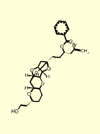 C=C(Br)C[C@H](CC[C@@]12CC3O[C@H]4C(O1)[C@H]1O[C@@H](CCO)CCC1O[C@H]4[C@H]3O2)OC(=O)c1ccccc1